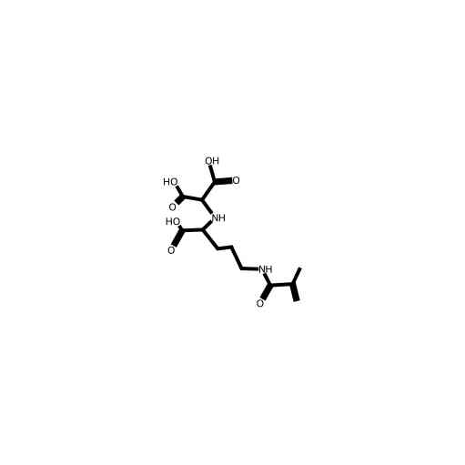 C=C(C)C(=O)NCCCC(NC(C(=O)O)C(=O)O)C(=O)O